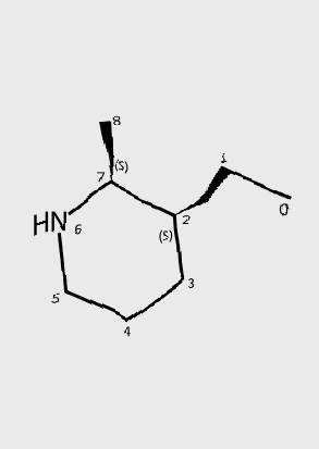 CC[C@H]1CCCN[C@H]1C